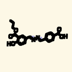 CCCOC(=O)c1cc(/C=N/N=C/c2ccc(C(=O)O)cc2)ccc1O